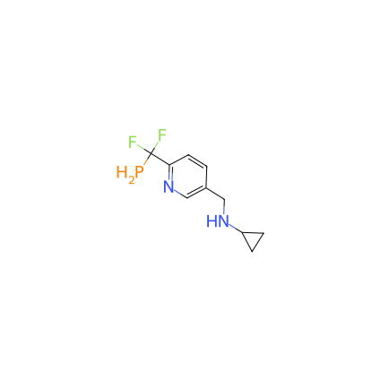 FC(F)(P)c1ccc(CNC2CC2)cn1